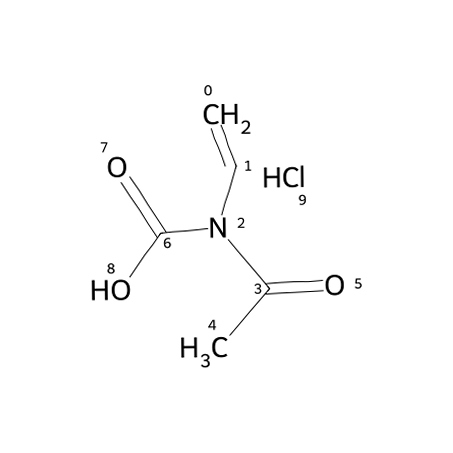 C=CN(C(C)=O)C(=O)O.Cl